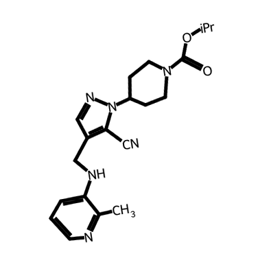 Cc1ncccc1NCc1cnn(C2CCN(C(=O)OC(C)C)CC2)c1C#N